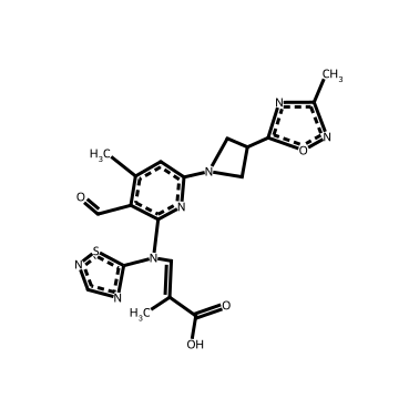 C/C(=C\N(c1ncns1)c1nc(N2CC(c3nc(C)no3)C2)cc(C)c1C=O)C(=O)O